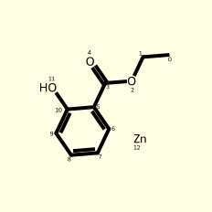 CCOC(=O)c1ccccc1O.[Zn]